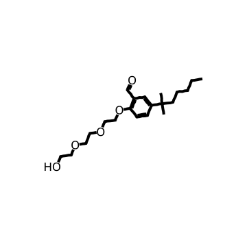 CCCCCC(C)(C)c1ccc(OCCOCCOCCO)c(C=O)c1